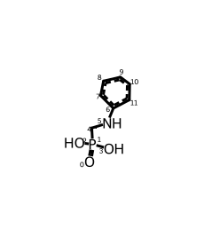 O=P(O)(O)[CH]Nc1ccccc1